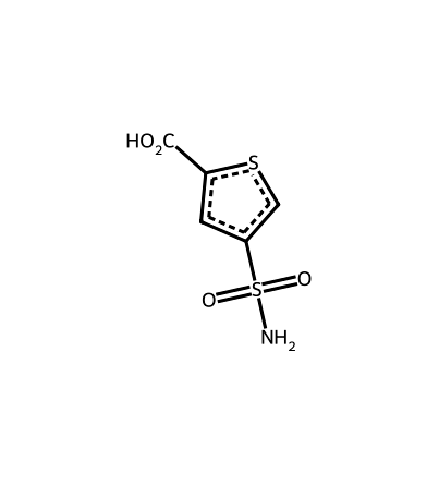 NS(=O)(=O)c1csc(C(=O)O)c1